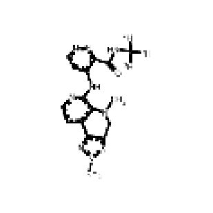 [2H]C([2H])([2H])NC(=O)c1nnccc1Nc1nccc2c1N(C)Cc1nn(C)nc1-2